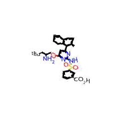 Cc1ccc2ccccc2c1-c1cc(OCC(N)CC(C)(C)C)nc(NS(=O)(=O)c2cccc(C(=O)O)c2)n1